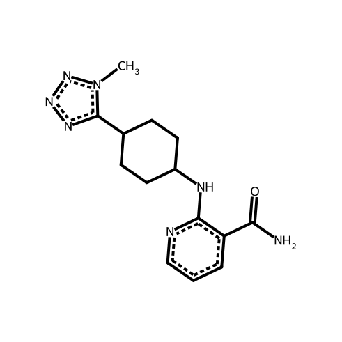 Cn1nnnc1C1CCC(Nc2ncccc2C(N)=O)CC1